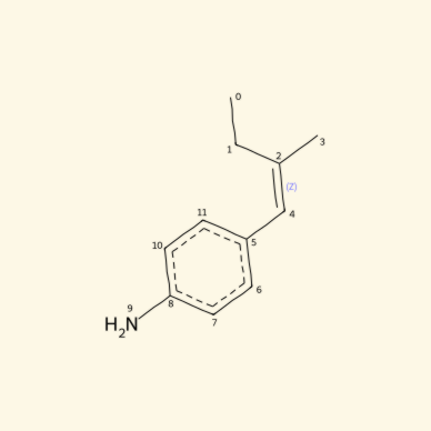 CC/C(C)=C\c1ccc(N)cc1